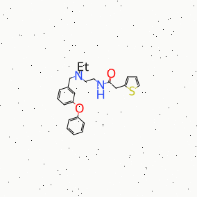 CCN(CCNC(=O)Cc1cccs1)Cc1cccc(Oc2ccccc2)c1